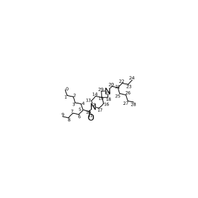 CCCCCC(CCCC)C(=O)N1CCC2(CC1)CN(CC(CCC)CCCC)C2